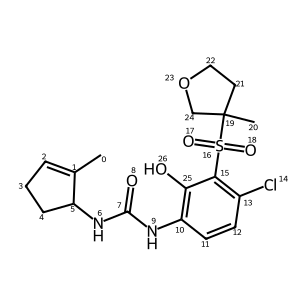 CC1=CCCC1NC(=O)Nc1ccc(Cl)c(S(=O)(=O)C2(C)CCOC2)c1O